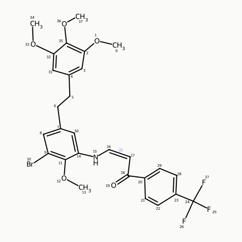 COc1cc(CCc2cc(Br)c(OC)c(N/C=C\C(=O)c3ccc(C(F)(F)F)cc3)c2)cc(OC)c1OC